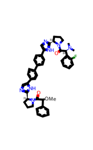 COC(C(=O)N1CCC[C@H]1c1ncc(-c2ccc(-c3ccc(-c4cnc([C@@H]5CCCN5C(=O)[C@@H](c5ccccc5F)N(C)C)[nH]4)cc3)cc2)[nH]1)c1ccccc1